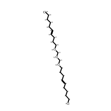 ClCCCCC=CCCCOCOCOCCCC=CCCCCCl